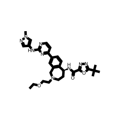 CCOCCN1CC[C@H](NC(=O)c2nnc(C(C)(C)C)o2)c2ccc(-c3ccnc(Nc4cnn(C)c4)n3)cc2C1